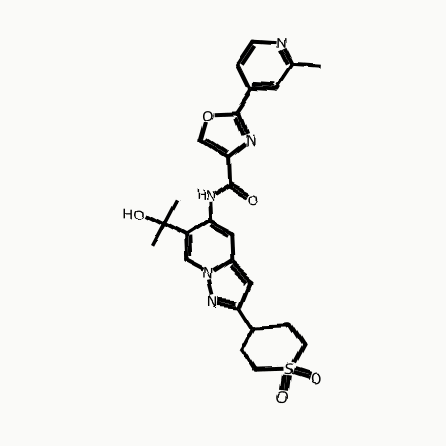 Cc1cc(-c2nc(C(=O)Nc3cc4cc(C5CCS(=O)(=O)CC5)nn4cc3C(C)(C)O)co2)ccn1